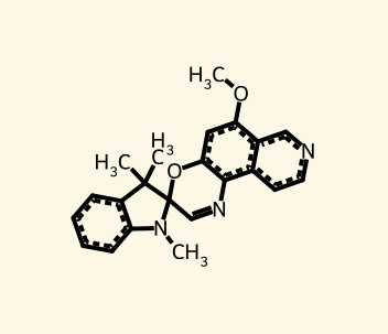 COc1cc2c(c3ccncc13)N=CC1(O2)N(C)c2ccccc2C1(C)C